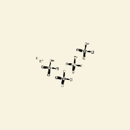 [K+].[K+].[O]=[Mn](=[O])([O-])[Cl].[O]=[Mn](=[O])([O-])[Cl].[O]=[Mn](=[O])([OH])[Cl].[O]=[Mn](=[O])([OH])[Cl]